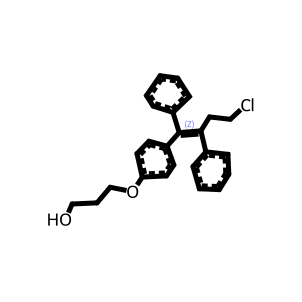 OCCCOc1ccc(/C(=C(/CCCl)c2ccccc2)c2ccccc2)cc1